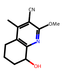 COc1nc2c(c(C)c1C#N)CCCC2O